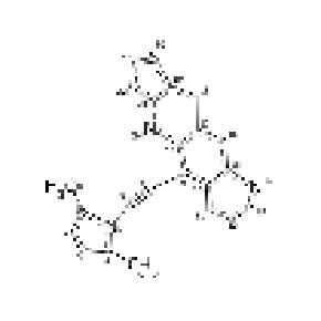 Cc1ccc(C)n1C#Cc1c2cccnc2cc2cc3sccc3nc12